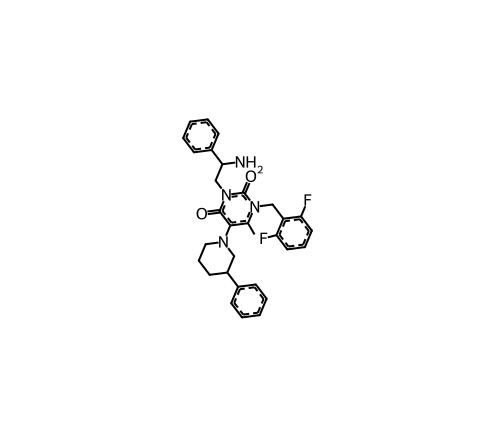 Cc1c(N2CCCC(c3ccccc3)C2)c(=O)n(CC(N)c2ccccc2)c(=O)n1Cc1c(F)cccc1F